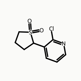 O=S1(=O)CCCC1c1cccnc1Cl